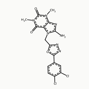 Cn1c(=O)c2c(nc(N)n2Cc2nnc(-c3ccc(Cl)c(Cl)c3)o2)n(C)c1=O